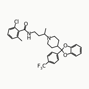 Cc1cccc(Cl)c1C(=O)NCCC(C)N1CCC(C2(c3ccc(C(F)(F)F)cc3)Oc3ccccc3O2)CC1